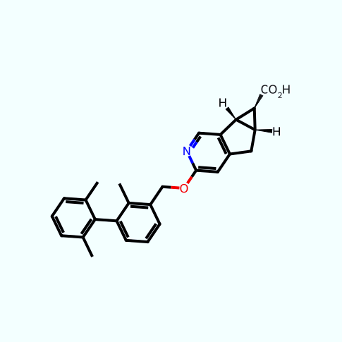 Cc1cccc(C)c1-c1cccc(COc2cc3c(cn2)[C@H]2[C@@H](C3)[C@@H]2C(=O)O)c1C